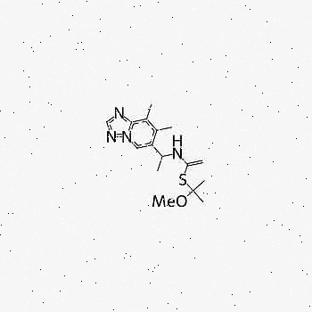 C=C(NC(C)c1cn2ncnc2c(C)c1C)SC(C)(C)OC